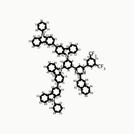 FC(F)(F)c1cc(-c2cc(-c3cc(-n4c5ccccc5c5cc(-c6ccc7c(c6)c6ccccc6n7-c6ccccc6)ccc54)cc(-n4c5ccccc5c5cc(-c6ccc7c(c6)c6ccccc6n7-c6ccccc6)ccc54)c3)nc(-c3ccc4ccccc4c3)n2)cc(C(F)(F)F)c1